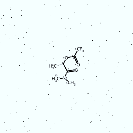 C[C@H](OC(=O)C(F)(F)F)C(=O)N(C)C